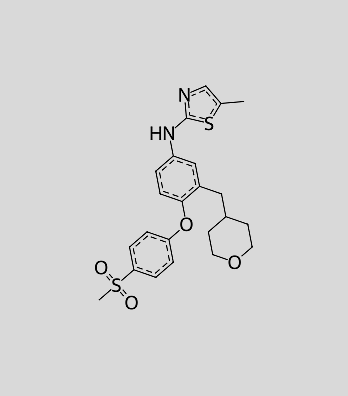 Cc1cnc(Nc2ccc(Oc3ccc(S(C)(=O)=O)cc3)c(CC3CCOCC3)c2)s1